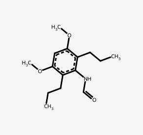 CCCc1c(OC)cc(OC)c(CCC)c1NC=O